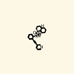 O=S(=O)(Nc1ccccc1C#Cc1cccnc1)N1CCC[C@H]2CCCC[C@@H]21